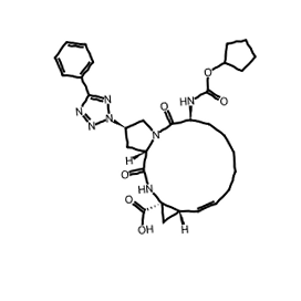 O=C(N[C@H]1CCCCC/C=C\[C@@H]2C[C@@]2(C(=O)O)NC(=O)[C@@H]2C[C@@H](n3nnc(-c4ccccc4)n3)CN2C1=O)OC1CCCC1